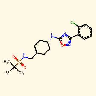 CC(C)(C)S(=O)(=O)NC[C@H]1CC[C@H](Nc2nc(-c3ccccc3Cl)no2)CC1